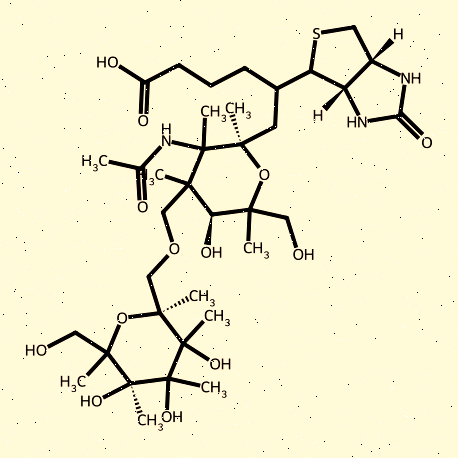 CC(=O)NC1(C)C(C)(COC[C@]2(C)OC(C)(CO)[C@](C)(O)C(C)(O)C2(C)O)[C@H](O)C(C)(CO)O[C@]1(C)CC(CCCC(=O)O)C1SC[C@@H]2NC(=O)N[C@H]12